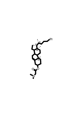 CC(C)CCC[C@@H](C)[C@H]1CCC2C3CC=C4CC(OC(=O)CN(C)C)CC[C@]4(C)C3CC[C@@]21C